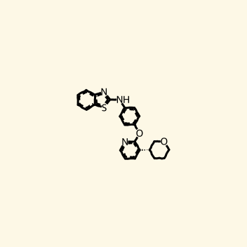 c1cnc(Oc2ccc(Nc3nc4ccccc4s3)cc2)c([C@H]2CCCOC2)c1